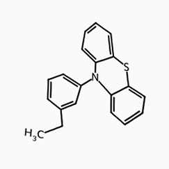 CCc1cccc(N2c3ccccc3Sc3ccccc32)c1